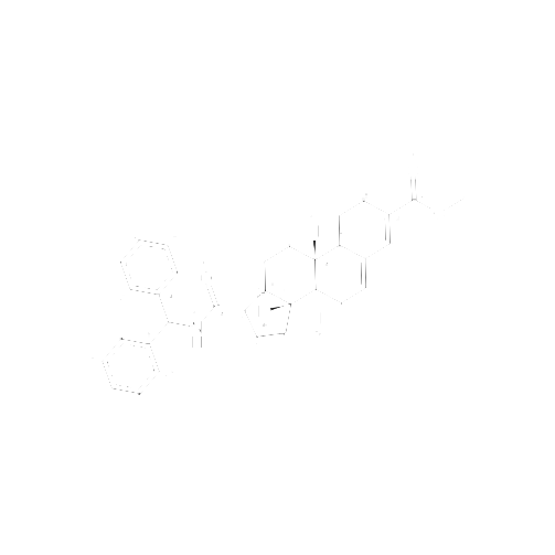 COC(=O)C1=CC2=CC[C@H]3[C@@H]4CC[C@H](C(=O)NC(c5ccccc5)c5ccccc5)[C@@]4(C)CC[C@@H]3[C@@]2(C)CC1